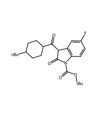 CCCCC1CCC(C(=O)C2C(=O)N(C(=O)OC(C)(C)C)c3ccc(F)cc32)CC1